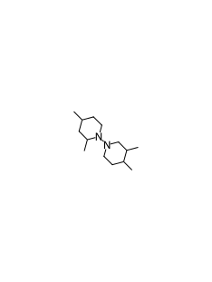 CC1CCN(N2CCC(C)C(C)C2)C(C)C1